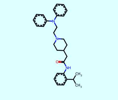 CC(C)c1ccccc1NC(=O)CC1CCN(CCN(c2ccccc2)c2ccccc2)CC1